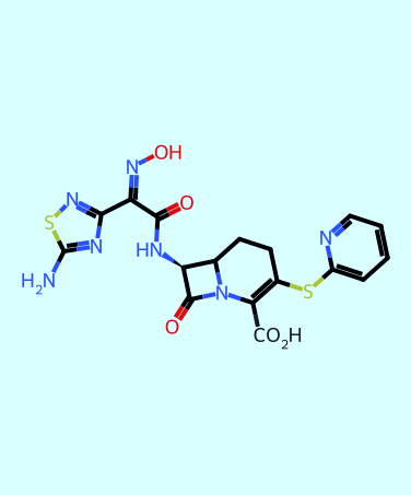 Nc1nc(/C(=N/O)C(=O)N[C@@H]2C(=O)N3C(C(=O)O)=C(Sc4ccccn4)CCC23)ns1